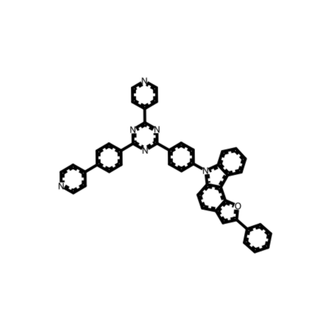 c1ccc(-c2cc3ccc4c(c5ccccc5n4-c4ccc(-c5nc(-c6ccncc6)nc(-c6ccc(-c7ccncc7)cc6)n5)cc4)c3o2)cc1